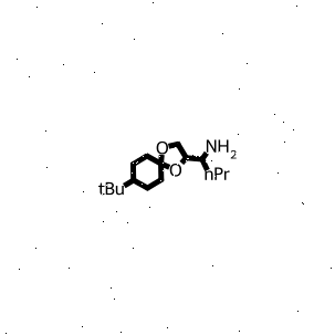 CCCC(N)C1COC2(CCC(C(C)(C)C)CC2)O1